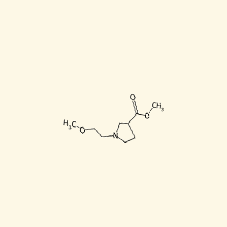 COCCN1CCC(C(=O)OC)C1